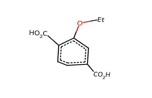 CCOc1cc(C(=O)O)ccc1C(=O)O